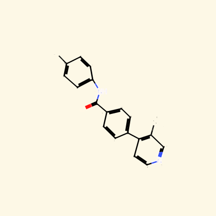 CC(C)(C)c1ccc(NC(=O)c2ccc(-c3ccncc3[N+](=O)[O-])cc2)cc1